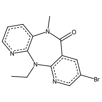 CCN1c2ncc(Br)cc2C(=O)N(C)c2cccnc21